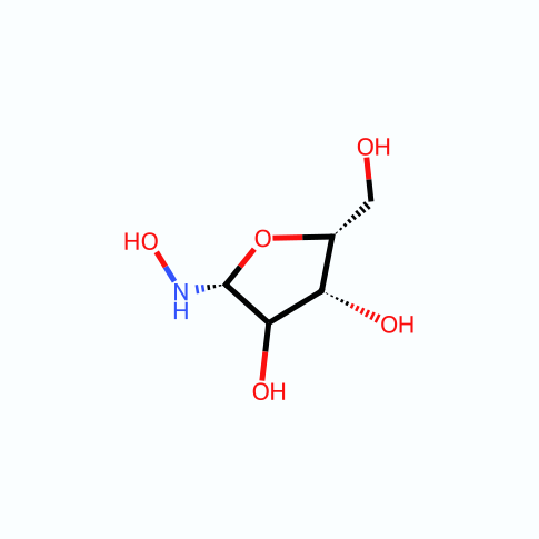 OC[C@H]1O[C@@H](NO)C(O)[C@H]1O